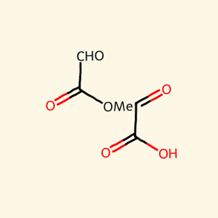 COC(=O)C=O.O=CC(=O)O